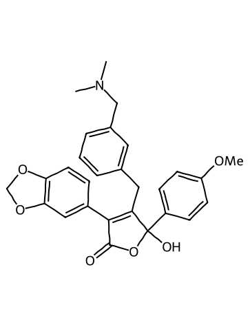 COc1ccc(C2(O)OC(=O)C(c3ccc4c(c3)OCO4)=C2Cc2cccc(CN(C)C)c2)cc1